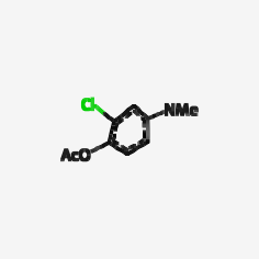 CNc1ccc(OC(C)=O)c(Cl)c1